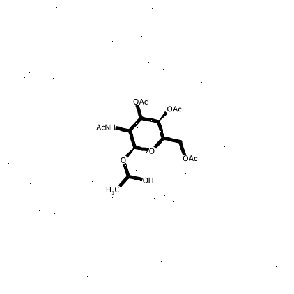 CC(=O)NC1C(OC(C)=O)[C@@H](OC(C)=O)C(COC(C)=O)O[C@H]1OC(C)O